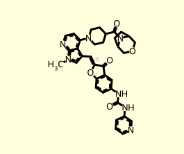 Cn1cc(/C=C2\Oc3ccc(NC(=O)Nc4cccnc4)cc3C2=O)c2c(N3CCC(C(=O)N4C5CCC4COC5)CC3)ccnc21